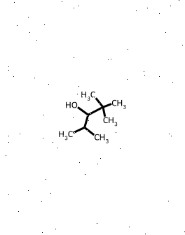 CC(C)C(O)C(C)(C)C